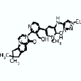 CCn1cc(NC2=CC(c3ccnc(-n4ccn5c6c(cc5c4=O)CC(C)(C)C6)c3CO)=CN(C)C2O)nn1